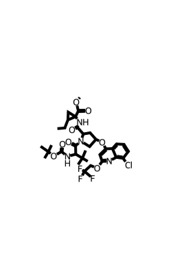 CCC1CC1(NC(=O)C1CC(Oc2cc(OCC(F)(F)F)nc3c(Cl)cccc23)CN1C(=O)C(NC(=O)OC(C)(C)C)C(C)(C)C)C(=O)OC